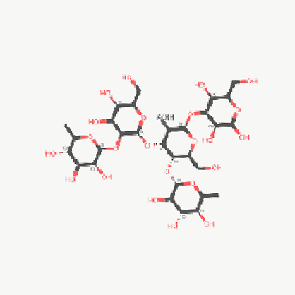 CC(=O)NC1[C@@H](OC2[C@H](O)C(O)OC(CO)[C@@H]2O)OC(CO)[C@H](O[C@@H]2OC(C)[C@@H](O)[C@H](O)C2O)[C@@H]1O[C@@H]1OC(CO)[C@H](O)C(O)C1O[C@@H]1OC(C)[C@@H](O)C(O)[C@@H]1O